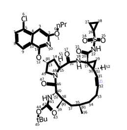 CCCOc1cc2c(Cl)cccc2c(O[C@@H]2C[C@H]3C(=O)N[C@]4(C(=O)NS(=O)(=O)C5CC5)C[C@H]4/C=C\CC[C@@H](C)C[C@@H](C)[C@H](NC(=O)OC(C)(C)C)C(=O)N3C2)n1